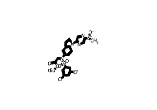 C[S+]([O-])c1cnc(-n2ccc3cc(N(CC(=O)OC(C)(C)C)S(=O)(=O)C4C=C(Cl)C=C(Cl)C4)ccc32)cn1